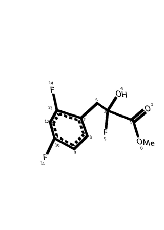 COC(=O)C(O)(F)Cc1ccc(F)cc1F